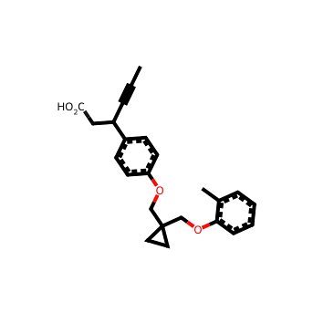 CC#CC(CC(=O)O)c1ccc(OCC2(COc3ccccc3C)CC2)cc1